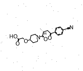 C[C@H](CC(=O)c1ccc(C#N)cc1)C(=O)N1CCC(OCC(=O)O)CC1